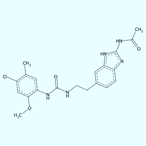 COc1cc(Cl)c(C)cc1NC(=O)NCCc1ccc2nc(NC(C)=O)[nH]c2c1